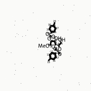 CO[C@@H]1O[C@H](C(CO)OS(=O)(=O)c2ccc(C)cc2)C(O)C1OS(=O)(=O)c1ccc(C)cc1